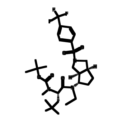 CCN(C(=O)[C@H](CC(C)(C)C)N(C)C(=O)OC(C)(C)C)[C@H]1CC[C@@H]2CN(S(=O)(=O)c3ccc(C(F)(F)F)cc3)C[C@@H]21